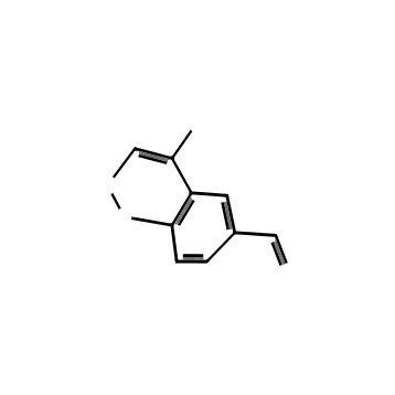 O=Cc1ccc2c(c1)C(Cl)=COO2